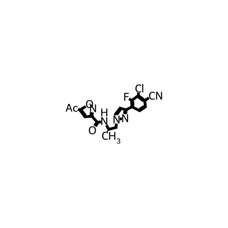 CC(=O)c1cc(C(=O)N[C@@H](C)Cn2ccc(-c3ccc(C#N)c(Cl)c3F)n2)no1